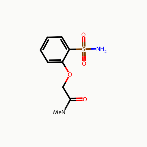 CNC(=O)COc1ccccc1S(N)(=O)=O